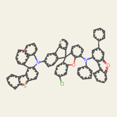 Clc1ccc2c(c1)Oc1c(N(c3ccccc3)c3cc(-c4ccccc4)cc4oc5ccccc5c34)cccc1C21c2ccccc2-c2cc(N(c3ccccc3)c3ccc4sc5ccccc5c4c3-c3ccccc3)ccc21